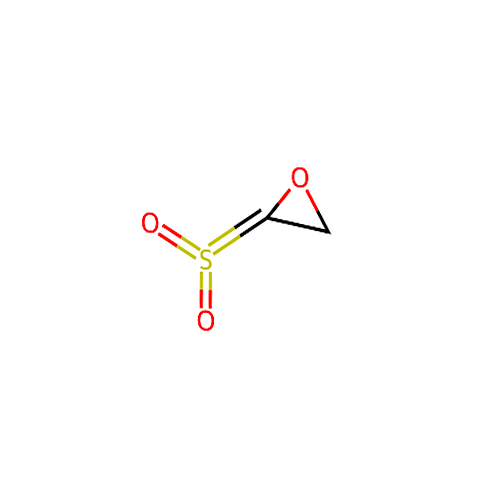 O=S(=O)=C1CO1